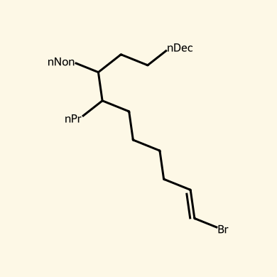 CCCCCCCCCCCCC(CCCCCCCCC)C(CCC)CCCCC=CBr